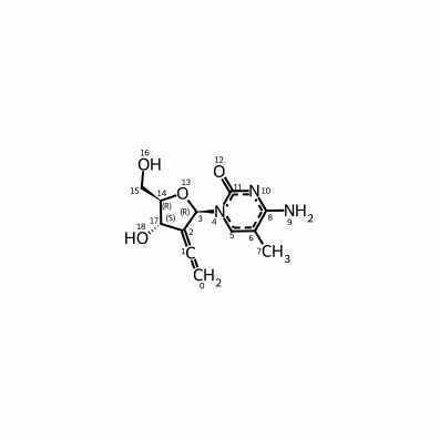 C=C=C1[C@H](n2cc(C)c(N)nc2=O)O[C@H](CO)[C@H]1O